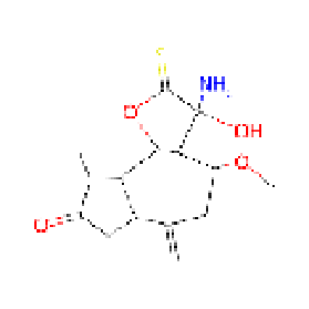 C=C1CC(OC)C2C(OC(=S)C2(N)O)C2C(C)C(=O)CC12